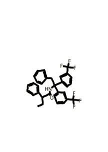 CCC(C(=O)NC(Cc1ccccc1)(c1cccc(C(F)(F)F)c1)c1cccc(C(F)(F)F)c1)c1ccccc1